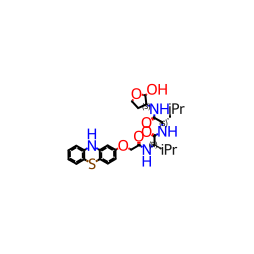 CC(C)C[C@H](NC(=O)[C@H](NC(=O)COc1ccc2c(c1)Nc1ccccc1S2)C(C)C)C(=O)N[C@H]1CCOC1O